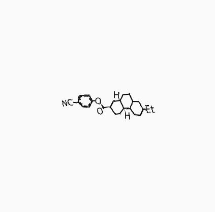 CCC1CCC2C(CC[C@@H]3C[C@H](C(=O)Oc4ccc(C#N)cc4)CC[C@H]23)C1